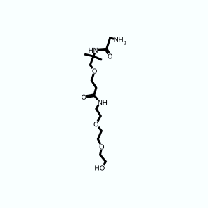 CC(C)(COCCC(=O)NCCOCCOCCO)NC(=O)CN